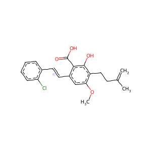 C=C(C)CCc1c(OC)cc(/C=C/c2ccccc2Cl)c(C(=O)O)c1O